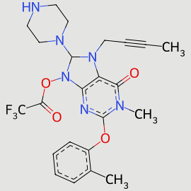 CC#CCN1c2c(nc(Oc3ccccc3C)n(C)c2=O)N(OC(=O)C(F)(F)F)C1N1CCNCC1